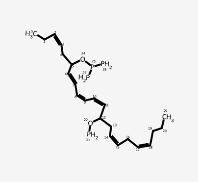 CC/C=C\CC(/C=C/C=C\C=C/C(C/C=C\C/C=C\CCC)OP)OP(P)P